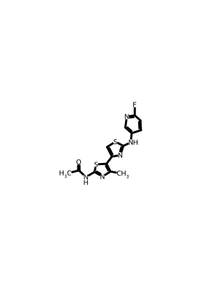 CC(=O)Nc1nc(C)c(-c2csc(Nc3ccc(F)nc3)n2)s1